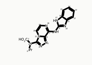 CC(C)N(C(=O)O)c1nnc2c(Nc3nc4ccccc4[nH]3)nccn12